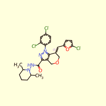 CC1CCCC(C)N1NC(=O)c1nn(-c2ccc(Cl)cc2Cl)c2c1COC/C2=C\c1ccc(Cl)o1